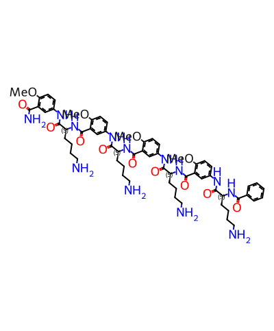 COc1ccc(NC(=O)[C@H](CCCCN)NC(=O)c2cc(NC(=O)[C@H](CCCCN)NC(=O)c3cc(NC(=O)[C@H](CCCCN)NC(=O)c4cc(NC(=O)[C@H](CCCCN)NC(=O)c5ccccc5)ccc4OC)ccc3OC)ccc2OC)cc1C(N)=O